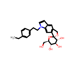 CCc1ccc(CCn2ccc3cc4c(cc32)[C@]2(OC4)O[C@H](CO)[C@@H](O)[C@H](O)[C@H]2O)cc1